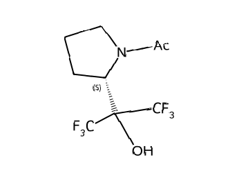 CC(=O)N1CCC[C@H]1C(O)(C(F)(F)F)C(F)(F)F